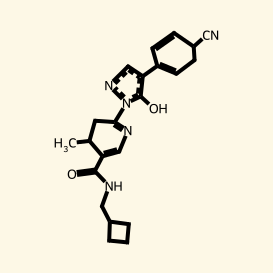 CC1CC(n2ncc(C3=CCC(C#N)C=C3)c2O)=NC=C1C(=O)NCC1CCC1